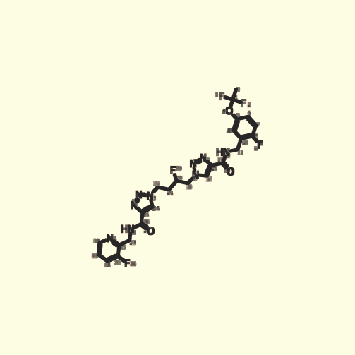 CC(F)(F)Oc1ccc(F)c(CNC(=O)c2cn(CC(F)CCn3cc(C(=O)NCc4ncccc4F)nn3)nn2)c1